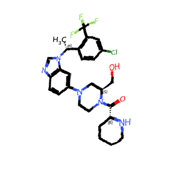 C[C@H](c1ccc(Cl)cc1C(F)(F)F)n1cnc2ccc(N3CCN(C(=O)[C@H]4CCCCN4)[C@H](CO)C3)cc21